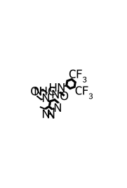 Cc1nn(C)c2ncc(N(C=O)C(=O)Nc3cc(C(F)(F)F)cc(C(F)(F)F)c3)c(N3CCN(C)CC3)c12